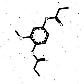 CCC(=O)Oc1ccc(OC(=O)CC)c(OC)c1